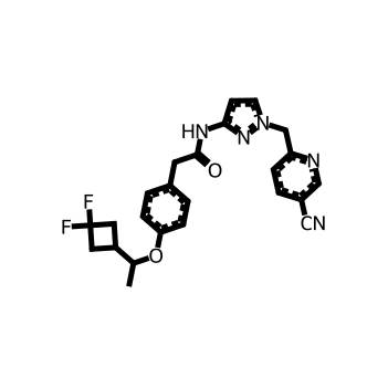 CC(Oc1ccc(CC(=O)Nc2ccn(Cc3ccc(C#N)cn3)n2)cc1)C1CC(F)(F)C1